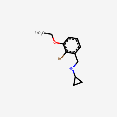 CCOC(=O)COc1cccc(CNC2CC2)c1Br